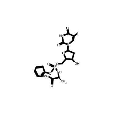 COC(=O)[C@H](C)NP(=O)(OCC1OC(n2cc(F)c(=O)[nH]c2=O)CC1O)Oc1ccccc1